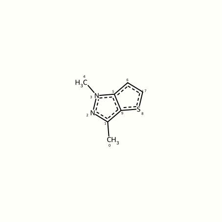 Cc1nn(C)c2c[c]sc12